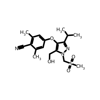 Cc1cc(Oc2c(C(C)C)nn(CS(C)(=O)=O)c2CO)cc(C)c1C#N